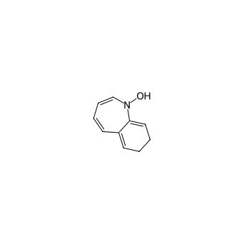 ON1C=CC=CC2=CCCC=C21